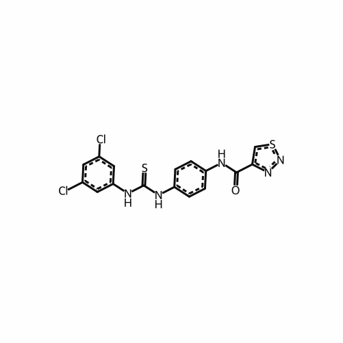 O=C(Nc1ccc(NC(=S)Nc2cc(Cl)cc(Cl)c2)cc1)c1csnn1